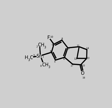 [CH3][Sn]([CH3])([CH3])[c]1cc2c(cc1F)C1CC(C1)C(=O)C2